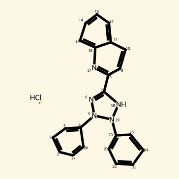 Cl.c1ccc(N2N=C(c3ccc4ccccc4n3)NN2c2ccccc2)cc1